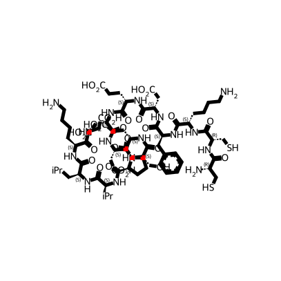 CC(C)C[C@H](NC(=O)[C@@H](NC(=O)[C@@H]1CCCN1C(=O)[C@H](CCC(=O)O)NC(=O)[C@H](CO)NC(=O)[C@H](CC(=O)O)NC(=O)[C@H](CC(=O)O)NC(=O)[C@H](CCC(=O)O)NC(=O)[C@H](CC(=O)O)NC(=O)[C@H](Cc1ccccc1)NC(=O)[C@H](CCCCN)NC(=O)[C@H](CS)NC(=O)[C@@H](N)CS)C(C)C)C(=O)N[C@@H](CCCCN)C(=O)NCC(=O)O